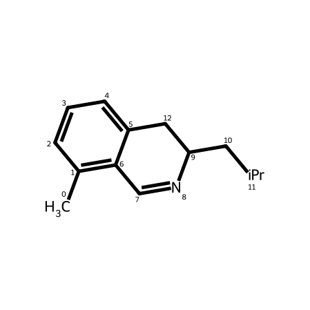 Cc1cccc2c1C=NC(CC(C)C)C2